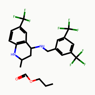 CC1CC(NCc2cc(C(F)(F)F)cc(C(F)(F)F)c2)c2cc(C(F)(F)F)ccc2N1.CCCOC=O